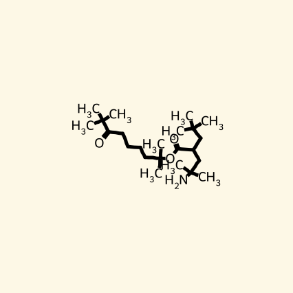 CC(C)(C)CC(CC(C)(C)N)C(=O)OC(C)(C)CCCCC(=O)C(C)(C)C